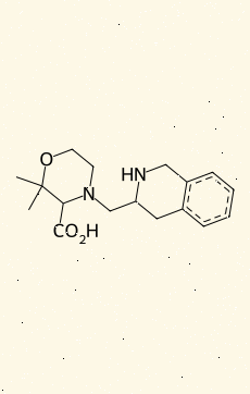 CC1(C)OCCN(CC2Cc3ccccc3CN2)C1C(=O)O